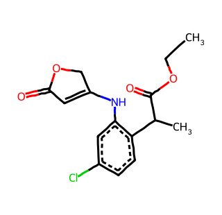 CCOC(=O)C(C)c1ccc(Cl)cc1NC1=CC(=O)OC1